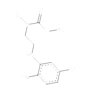 CCN(CCNc1cc(Cl)ccc1[N+](=O)[O-])C(=O)OC(C)(C)C